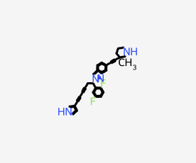 CC1(C#Cc2ccc3cn(C(CC#CC#Cc4cc[nH]c4)c4cc(F)ccc4F)nc3c2)CCCNC1